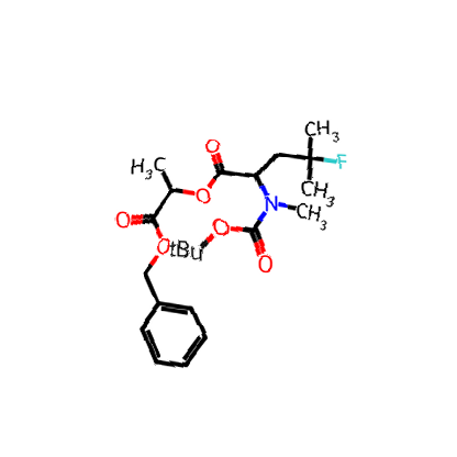 CC(OC(=O)C(CC(C)(C)F)N(C)C(=O)OC(C)(C)C)C(=O)OCc1ccccc1